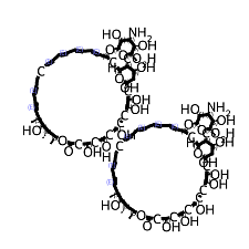 C[C@@H]1[C@H](O)[C@@H](C)/C=C/C=C/CC/C=C/C=C/C=C/C=C/[C@H](O[C@@H]2O[C@H](C)[C@@H](O)[C@H](N)[C@@H]2O)C[C@@H]2O[C@](O)(C[C@@H](O)[C@H](O)CC[C@@H](O)C[C@@H](O)C[C@@H](O)CC(=O)O[C@H]1C)C[C@H](O)[C@H]2C(=O)O.C[C@@H]1[C@H](O)[C@@H](C)/C=C/C=C/CC/C=C/C=C/C=C/C=C/[C@H](O[C@@H]2O[C@H](C)[C@@H](O)[C@H](N)[C@@H]2O)C[C@@H]2O[C@](O)(C[C@@H](O)[C@H](O)CC[C@@H](O)C[C@@H](O)C[C@@H](O)CC(=O)O[C@H]1C)C[C@H](O)[C@H]2C(=O)O